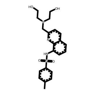 Cc1ccc(S(=O)(=O)Nc2cccc3ccc(CN(CCO)CCO)nc23)cc1